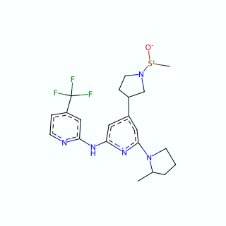 CC1CCCN1c1cc(C2CCN([S+](C)[O-])C2)cc(Nc2cc(C(F)(F)F)ccn2)n1